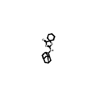 O=C1N=C(NC2C3CC4CC(C3)CC2C4)OC12CCCCC2